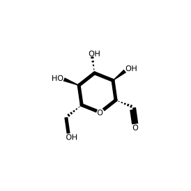 O=C[C@@H]1O[C@H](CO)[C@@H](O)[C@H](O)[C@H]1O